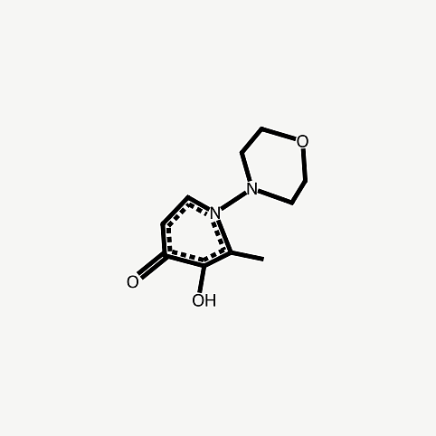 Cc1c(O)c(=O)ccn1N1CCOCC1